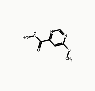 COc1cc(C(=O)NO)ncn1